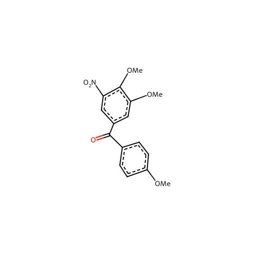 COc1ccc(C(=O)c2cc(OC)c(OC)c([N+](=O)[O-])c2)cc1